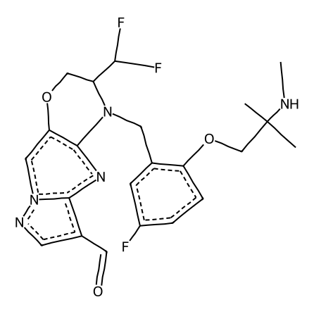 CNC(C)(C)COc1ccc(F)cc1CN1c2nc3c(C=O)cnn3cc2OCC1C(F)F